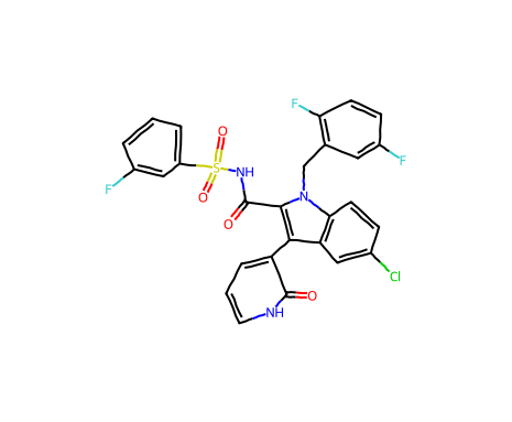 O=C(NS(=O)(=O)c1cccc(F)c1)c1c(-c2ccc[nH]c2=O)c2cc(Cl)ccc2n1Cc1cc(F)ccc1F